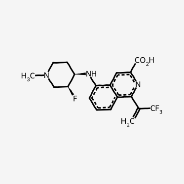 C=C(c1nc(C(=O)O)cc2c(N[C@@H]3CCN(C)C[C@@H]3F)cccc12)C(F)(F)F